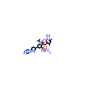 Cc1cc(C)c(Cc2cn(C(C)C)c3cc(-c4ccc(N5CCN(C)CC5)nc4)cc(C(N)=O)c23)c(=O)[nH]1